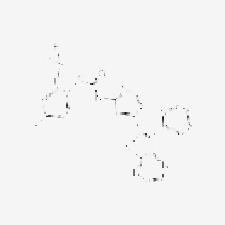 O=C(Nc1cc(-c2[nH]c3nccnc3c2-c2ccccn2)ccn1)[C@@H](CC(F)(F)F)c1ccc(F)cc1